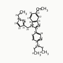 CCN(CC)c1ccc(-c2nc3cc(OC)ccc3n2Cc2ccn(CC)n2)cn1